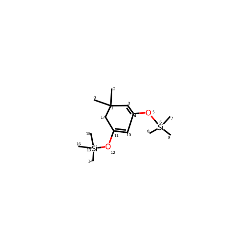 CC1(C)C=C(O[Si](C)(C)C)C=C(O[Si](C)(C)C)C1